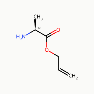 C=CCOC(=O)[C@H](C)N